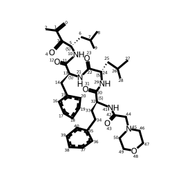 C=C(C)C(=O)[C@H](CC(C)C)NC(=O)[C@H](Cc1ccccc1)NC(=O)[C@H](CC(C)C)NC(=O)[C@H](CCc1ccccc1)NC(=O)CN1CCOCC1